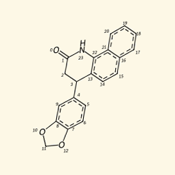 O=C1CC(c2ccc3c(c2)OCO3)c2ccc3ccccc3c2N1